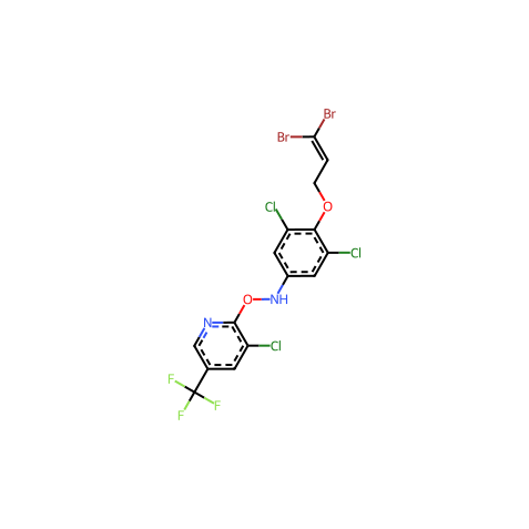 FC(F)(F)c1cnc(ONc2cc(Cl)c(OCC=C(Br)Br)c(Cl)c2)c(Cl)c1